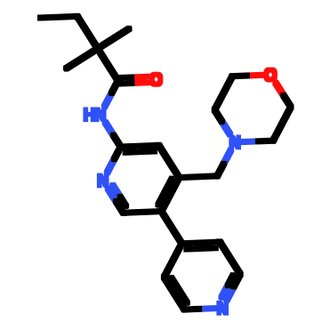 CCC(C)(C)C(=O)Nc1cc(CN2CCOCC2)c(-c2ccncc2)cn1